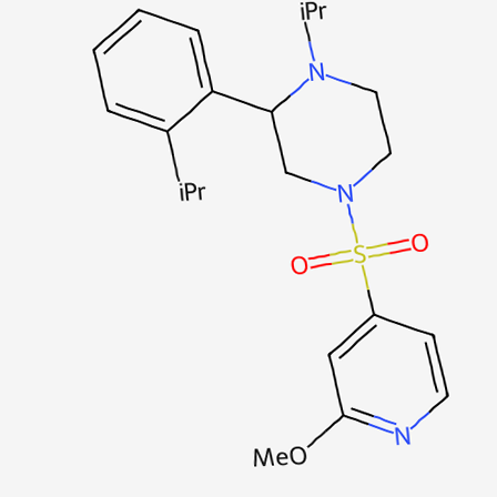 COc1cc(S(=O)(=O)N2CCN(C(C)C)C(c3ccccc3C(C)C)C2)ccn1